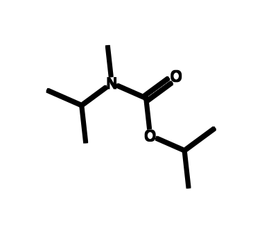 CC(C)OC(=O)N(C)C(C)C